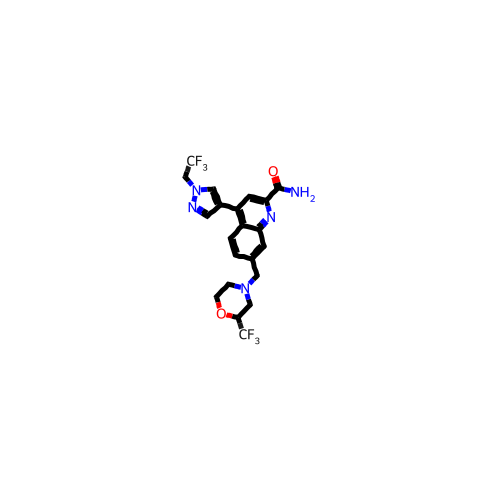 NC(=O)c1cc(-c2cnn(CC(F)(F)F)c2)c2ccc(CN3CCOC(C(F)(F)F)C3)cc2n1